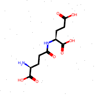 N[C@@H](CCC(=O)N[C@@H](CCC(=O)O)C(=O)O)C(=O)O